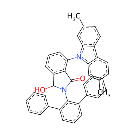 Cc1ccc2c3ccc(C)cc3n(-c3cccc4c3C(=O)N(c3c(-c5ccccc5)cccc3-c3ccccc3)C4O)c2c1